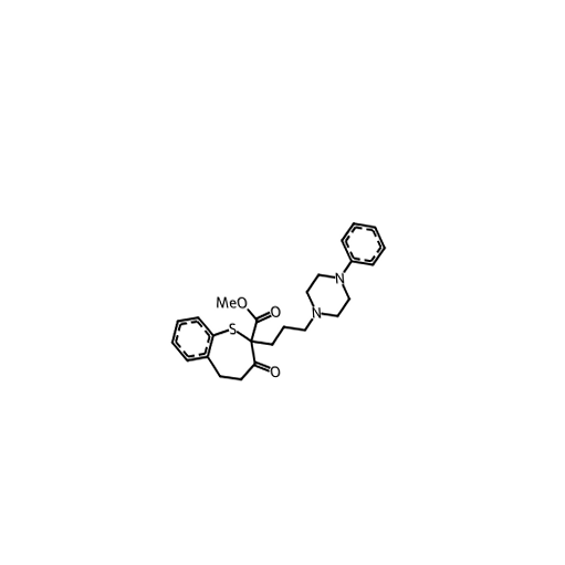 COC(=O)C1(CCCN2CCN(c3ccccc3)CC2)Sc2ccccc2CCC1=O